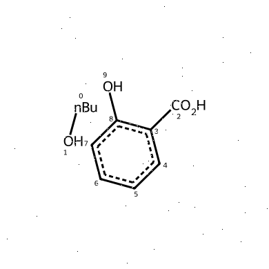 CCCCO.O=C(O)c1ccccc1O